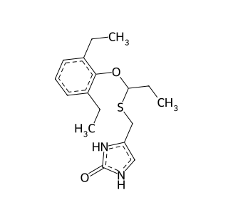 CCc1cccc(CC)c1OC(CC)SCc1c[nH]c(=O)[nH]1